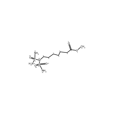 COC(=O)CCCCCCN(P(N)(N)=O)S(N)(=O)=O